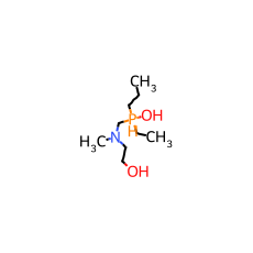 CCC[PH](O)(CC)CN(C)CCO